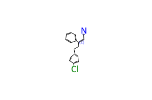 N#C/C=C(/CCc1ccc(Cl)cc1)c1ccccc1